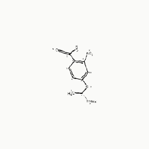 CCCCCC[C@H](C)Oc1ccc(C(=O)Cl)c([N+](=O)[O-])c1